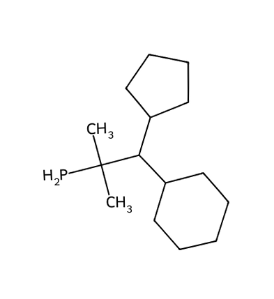 CC(C)(P)C(C1CCCCC1)C1CCCC1